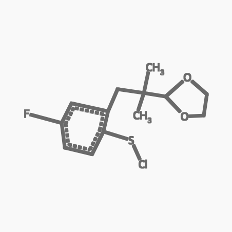 CC(C)(Cc1cc(F)ccc1SCl)C1OCCO1